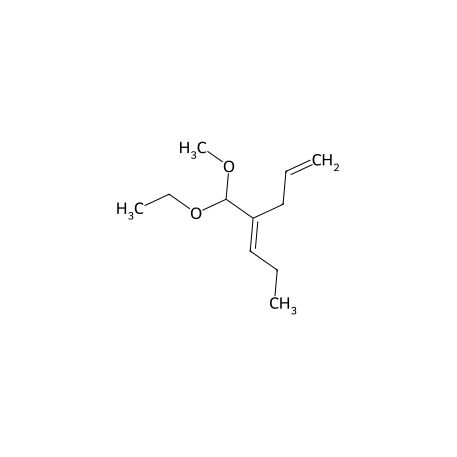 C=CC/C(=C\CC)C(OC)OCC